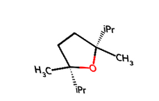 CC(C)[C@@]1(C)CC[C@@](C)(C(C)C)O1